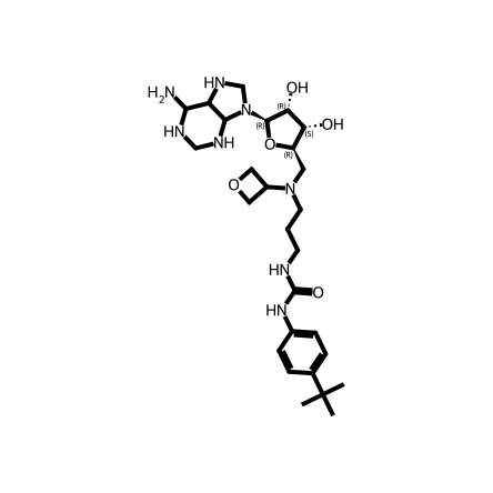 CC(C)(C)c1ccc(NC(=O)NCCCN(C[C@H]2O[C@@H](N3CNC4C(N)NCNC43)[C@H](O)[C@@H]2O)C2COC2)cc1